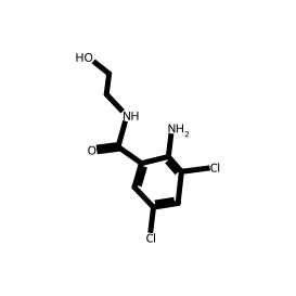 Nc1c(Cl)cc(Cl)cc1C(=O)NCCO